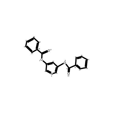 O=C(Oc1cncc(OC(=O)c2ccccc2)c1)c1ccccc1